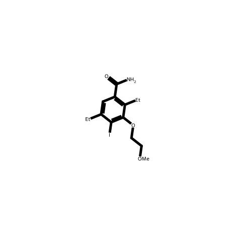 CCc1cc(C(N)=O)c(CC)c(OCCOC)c1I